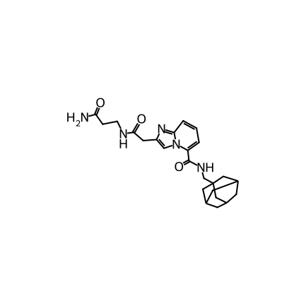 NC(=O)CCNC(=O)Cc1cn2c(C(=O)NCC34CC5CC(CC(C5)C3)C4)cccc2n1